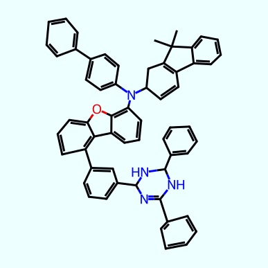 CC1(C)C2=C(C=CC(N(c3ccc(-c4ccccc4)cc3)c3cccc4c3oc3cccc(-c5cccc(C6N=C(c7ccccc7)NC(c7ccccc7)N6)c5)c34)C2)c2ccccc21